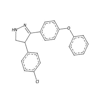 Clc1ccc(C2CNN=C2c2ccc(Oc3ccccc3)cc2)cc1